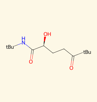 CC(C)(C)NC(=O)[C@@H](O)CCC(=O)C(C)(C)C